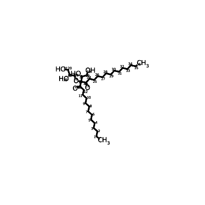 CCCCCCCCCCCCCC(=O)C(OCC(O)CO)(C(=O)CCCCCCCCCCCCC)C(O)CO